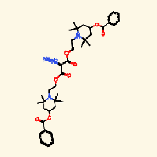 CC1(C)CC(OC(=O)c2ccccc2)CC(C)(C)N1CCOC(=O)C(=[N+]=[N-])C(=O)OCCN1C(C)(C)CC(OC(=O)c2ccccc2)CC1(C)C